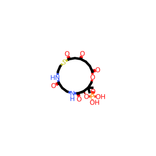 CC1(C)COC(=O)CCC(=O)CC(=O)SCCNC(=O)CCNC(=O)[C@@H]1OP(=O)(O)O